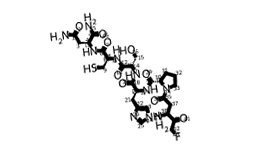 NC(=O)C[C@H](NC(=O)[C@H](CS)NC(=O)[C@H](CO)NC(=O)[C@H](Cc1c[nH]cn1)NC(=O)[C@@H]1CCCN1C(=O)CC(N)C(=O)CF)C(N)=O